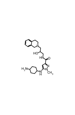 Cn1nc(C(=O)NCC(O)CN2CCc3ccccc3C2)cc1NC1CCC(N)CC1